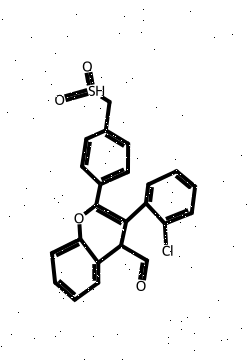 O=CC1C(c2ccccc2Cl)=C(c2ccc(C[SH](=O)=O)cc2)Oc2ccccc21